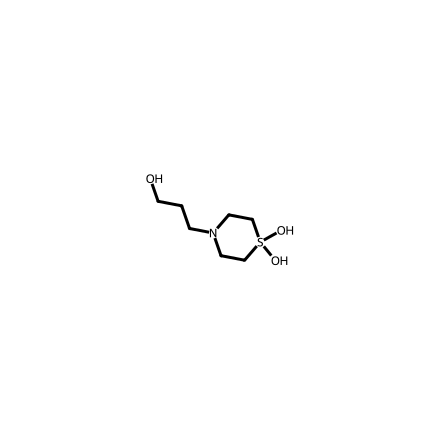 OCCCN1CCS(O)(O)CC1